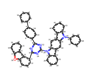 c1ccc(-c2ccc(-c3nc(-c4cccc5oc6ccccc6c45)nc(-n4c5ccccc5c5cc6c(cc54)c4ccccc4n6-c4ccccc4)n3)cc2)cc1